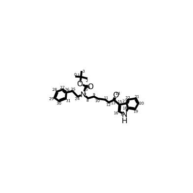 CC(C)(C)OC(=O)N(CCCCCC(=O)c1c[nH]c2ccccc12)CCc1ccccc1